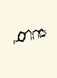 Fc1ccc(CNCc2cs[c]n2)cc1